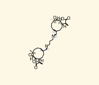 C=C1C(=O)O[C@H]2[C@H]1CCC(/C=N/CCC/N=C/C1=C/CC[C@@]3(C)O[C@H]3[C@H]3OC(=O)C(=C)[C@@H]3CC1)=C\CC[C@@]1(C)O[C@@H]21